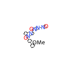 COc1ccccc1-c1ccc(C(=O)N2Cc3ccc(C(=O)N4CCN(CCN5CCOCC5)CC4)n3Cc3ccccc32)cc1